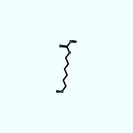 [CH2]OC(=O)OCCCCCCOC